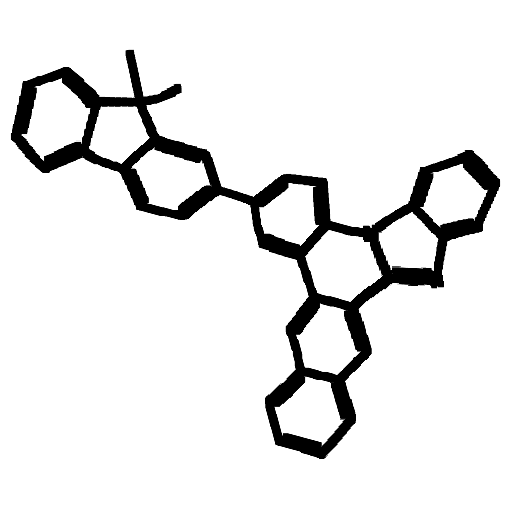 CC1(C)c2ccccc2-c2ccc(-c3ccc4c(c3)c3cc5ccccc5cc3c3nc5ccccc5n43)cc21